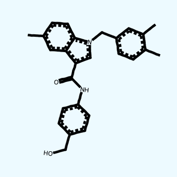 Cc1ccc2c(c1)c(C(=O)Nc1ccc(CO)cc1)cn2Cc1ccc(C)c(C)c1